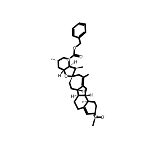 CC1=C2C[C@H]3[C@@H](CCC4=CC(=[N+](C)[O-])CC[C@@]43C)[C@@H]2CC[C@@]2(C1)O[C@@H]1C[C@H](C)CN(C(=O)OCc3ccccc3)[C@H]1[C@H]2C